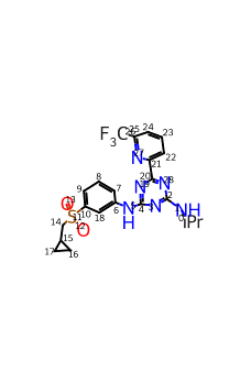 CC(C)Nc1nc(Nc2cccc(S(=O)(=O)CC3CC3)c2)nc(-c2cccc(C(F)(F)F)n2)n1